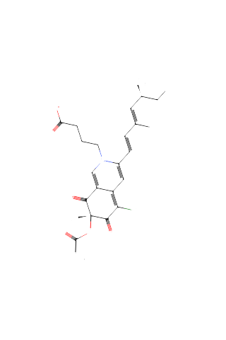 CC[C@H](C)/C=C(C)/C=C/C1=CC2=C(Cl)C(=O)[C@](C)(OC(C)=O)C(=O)C2=CN1CCCC(=O)O